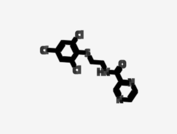 O=C(NCCSc1c(Cl)cc(Cl)cc1Cl)c1cnccn1